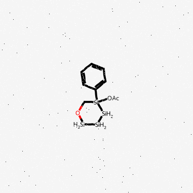 CC(=O)O[Si]1(c2ccccc2)CO[SiH2][SiH2][SiH2]1